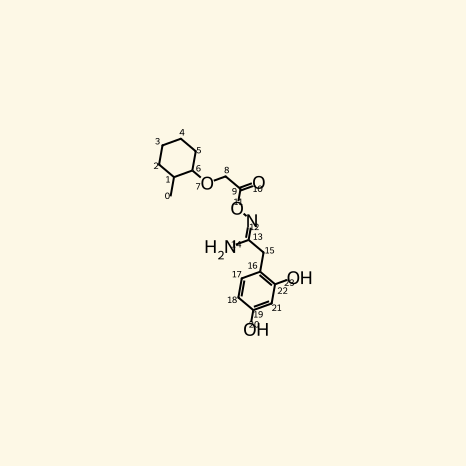 CC1CCCCC1OCC(=O)O/N=C(\N)Cc1ccc(O)cc1O